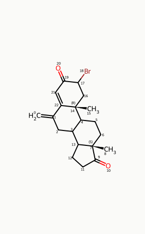 C=C1CC2C(CC[C@]3(C)C(=O)CCC23)[C@@]2(C)CC(Br)C(=O)C=C12